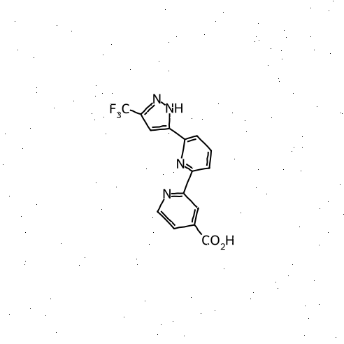 O=C(O)c1ccnc(-c2cccc(-c3cc(C(F)(F)F)n[nH]3)n2)c1